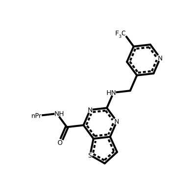 CCCNC(=O)c1nc(NCc2cncc(C(F)(F)F)c2)nc2ccsc12